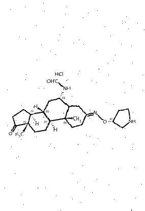 C[C@]12CC/C(=N\O[C@@H]3CCNC3)CC1[C@@H](NC=O)C[C@@H]1[C@@H]2CC[C@]2(C)C(=O)CC[C@@H]12.Cl